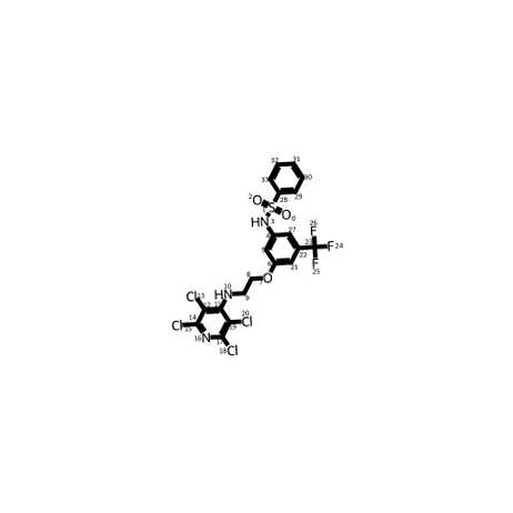 O=S(=O)(Nc1cc(OCCNc2c(Cl)c(Cl)nc(Cl)c2Cl)cc(C(F)(F)F)c1)c1ccccc1